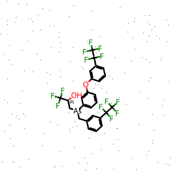 O[C@@H](C[As](Cc1cccc(C(F)(F)C(F)(F)F)c1)c1cccc(Oc2cccc(C(F)(F)C(F)(F)F)c2)c1)C(F)(F)F